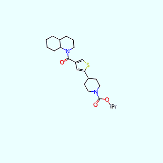 CC(C)OC(=O)N1CCC(c2cc(C(=O)N3CCCC4CCCCC43)cs2)CC1